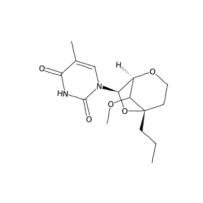 CCC[C@]12CCO[C@@H](C1OC)[C@H](n1cc(C)c(=O)[nH]c1=O)O2